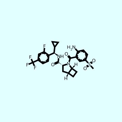 CS(=O)(=O)c1ccc(N)c(C(=O)N2[C@@H](C(=O)N[C@@H](c3ccc(C(F)(F)F)cc3F)C3CC3)C[C@H]3CC[C@H]32)c1